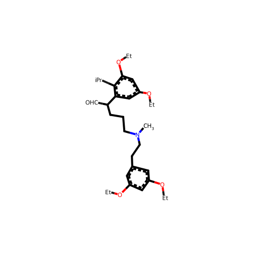 CCOc1cc(CCN(C)CCCC(C=O)c2cc(OCC)cc(OCC)c2C(C)C)cc(OCC)c1